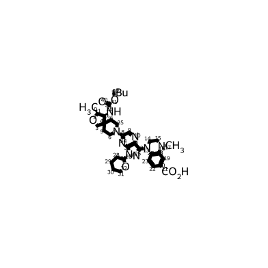 C[C@@H]1OCC2(CCN(c3cnc4c(N5CCN(C)c6cc(C(=O)O)ccc65)nn(C5CCCCO5)c4n3)CC2)[C@@H]1NC(=O)OC(C)(C)C